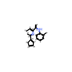 C=C(Nc1ccccc1C)C(=C/C)/N=C(\C)C1=CC=CC1